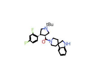 CC(C)(C)N1C[C@@H](C(=O)N2CCC3(CC2)CNc2ccccc23)[C@H](c2ccc(F)cc2F)C1